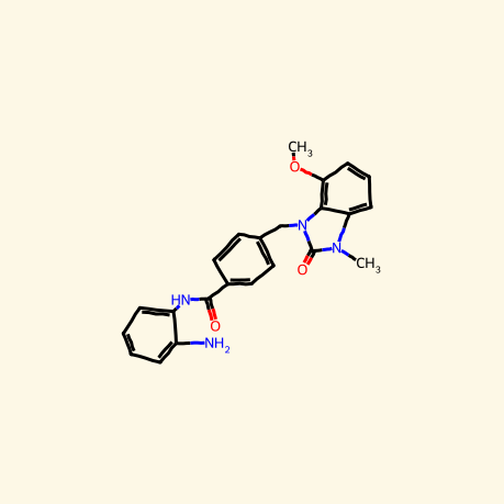 COc1cccc2c1n(Cc1ccc(C(=O)Nc3ccccc3N)cc1)c(=O)n2C